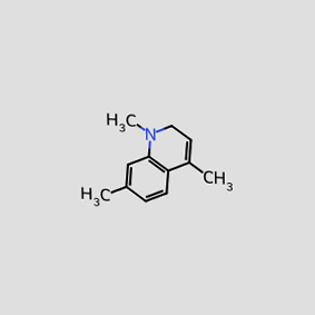 CC1=CCN(C)c2cc(C)ccc21